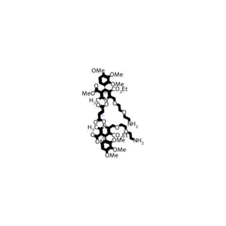 CCOC(=O)C1=C(COCCOCCN)N(OC(=O)/C=C/C(=O)ON2C(C)=C(C(=O)OC)[C@H](c3ccc(OC)c(OC)c3OC)C(C(=O)OCC)=C2COCCOCCN)C(C)=C(C(=O)OC)[C@@H]1c1ccc(OC)c(OC)c1OC